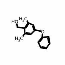 Cc1cc(Oc2ccccc2)cc(C)c1CO